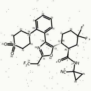 N#CC1(NC(=O)[C@@H]2CC(F)(F)CC[C@H]2c2oc(CC(F)(F)F)nc2-c2ccccc2N2CCS(=O)(=O)CC2)CC1